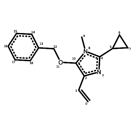 C=Cc1nc(C2CC2)n(C)c1OCc1ccccc1